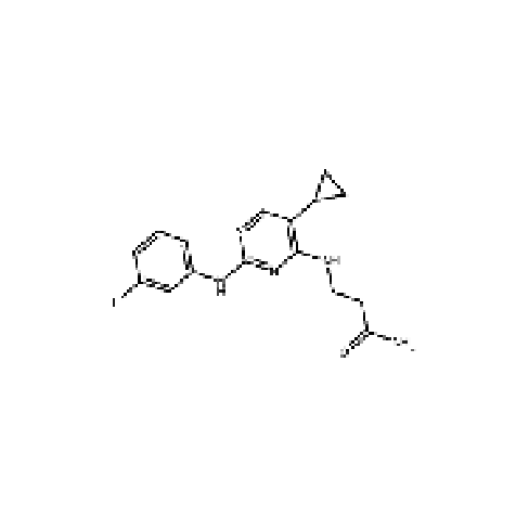 NC(=O)CCNc1nc(Nc2cccc(F)c2)ncc1C1CC1